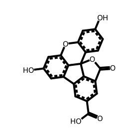 O=C(O)c1cc2c3c(c1)-c1cc(O)cc4c1C3(OC2=O)c1ccc(O)cc1O4